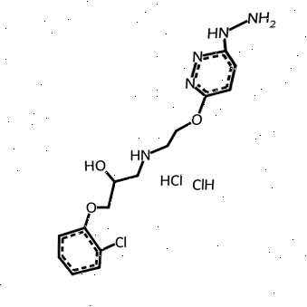 Cl.Cl.NNc1ccc(OCCNCC(O)COc2ccccc2Cl)nn1